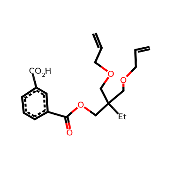 C=CCOCC(CC)(COCC=C)COC(=O)c1cccc(C(=O)O)c1